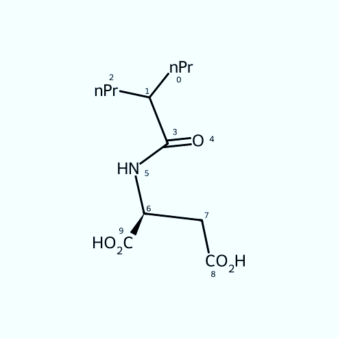 CCCC(CCC)C(=O)N[C@@H](CC(=O)O)C(=O)O